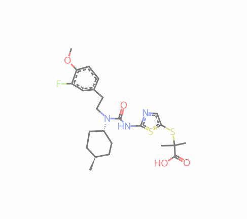 COc1ccc(CCN(C(=O)Nc2ncc(SC(C)(C)C(=O)O)s2)[C@H]2CC[C@H](C)CC2)cc1F